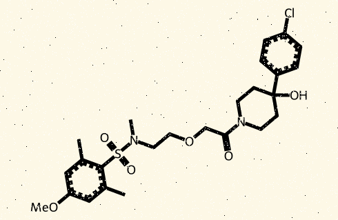 COc1cc(C)c(S(=O)(=O)N(C)CCOCC(=O)N2CCC(O)(c3ccc(Cl)cc3)CC2)c(C)c1